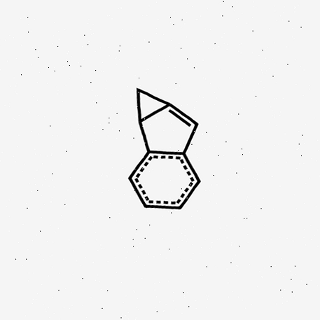 C1=C2CC2c2ccccc21